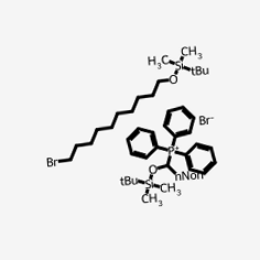 CC(C)(C)[Si](C)(C)OCCCCCCCCCCBr.CCCCCCCCCC(O[Si](C)(C)C(C)(C)C)[P+](c1ccccc1)(c1ccccc1)c1ccccc1.[Br-]